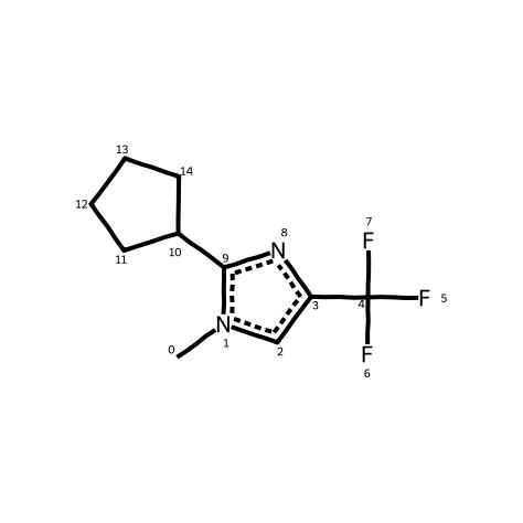 Cn1cc(C(F)(F)F)nc1C1CCCC1